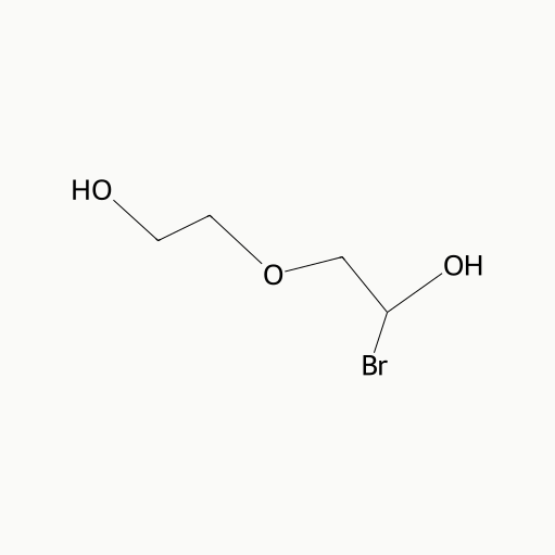 OCCOCC(O)Br